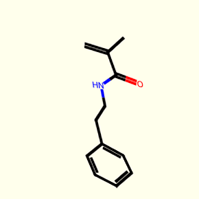 C=C(C)C(=O)NCCc1cc[c]cc1